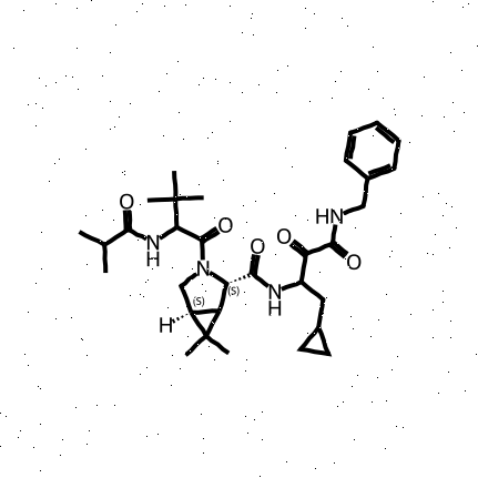 CC(C)C(=O)NC(C(=O)N1C[C@H]2C([C@H]1C(=O)NC(CC1CC1)C(=O)C(=O)NCc1ccccc1)C2(C)C)C(C)(C)C